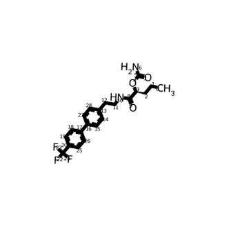 CCC[C@H](OC(N)=O)C(=O)NCCc1ccc(-c2ccc(C(F)(F)F)cc2)cc1